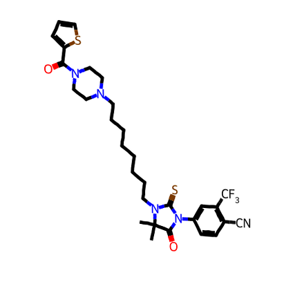 CC1(C)C(=O)N(c2ccc(C#N)c(C(F)(F)F)c2)C(=S)N1CCCCCCCCN1CCN(C(=O)c2cccs2)CC1